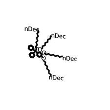 CCCCCCCCCCCCCCCCCCOc1ccc(C(OCCCCCCCCCCCCCCCCCC)(c2ccccc2)c2ccccc2)c(OCCCCCCCCCCCCCCCCCC)c1OCCCCCCCCCCCCCCCCCC